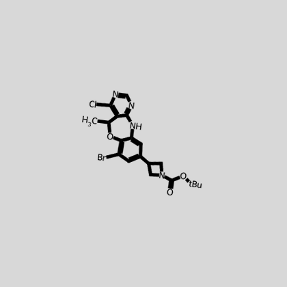 CC1Oc2c(Br)cc(C3CN(C(=O)OC(C)(C)C)C3)cc2Nc2ncnc(Cl)c21